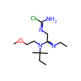 CC/N=C(\C/N=C(\N)Cl)N(CCOC)C(C)(C)CC